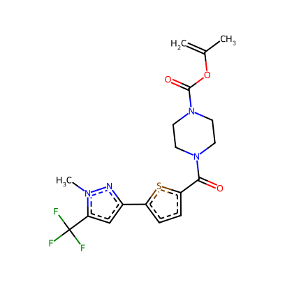 C=C(C)OC(=O)N1CCN(C(=O)c2ccc(-c3cc(C(F)(F)F)n(C)n3)s2)CC1